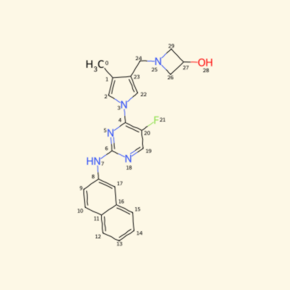 Cc1cn(-c2nc(Nc3ccc4ccccc4c3)ncc2F)cc1CN1CC(O)C1